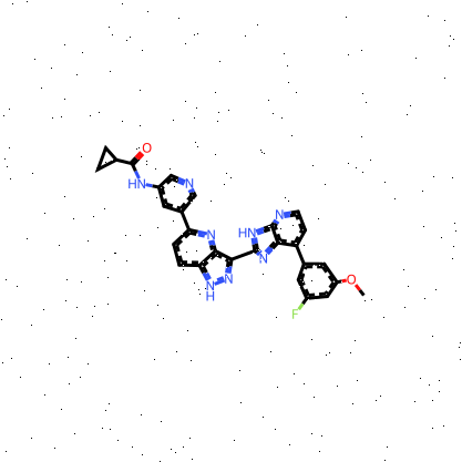 COc1cc(F)cc(-c2ccnc3[nH]c(-c4n[nH]c5ccc(-c6cncc(NC(=O)C7CC7)c6)nc45)nc23)c1